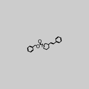 O=C(OCc1ccccc1)N1CCCC(C=Cc2ccccc2)C1